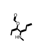 C=C/C=C(NC)\C(=C/C)OC=O